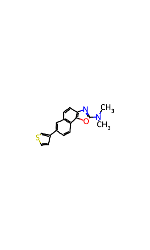 CN(C)c1nc2ccc3cc(-c4ccsc4)ccc3c2o1